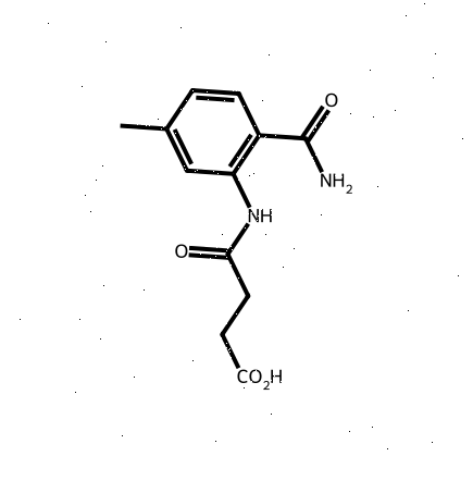 Cc1ccc(C(N)=O)c(NC(=O)CCC(=O)O)c1